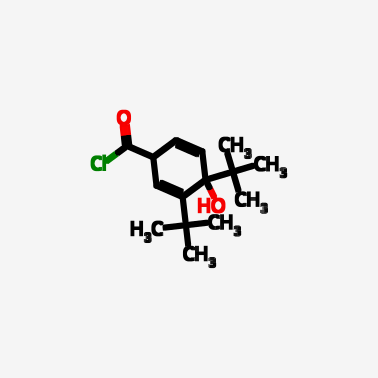 CC(C)(C)C1=CC(C(=O)Cl)C=CC1(O)C(C)(C)C